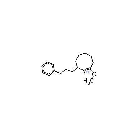 CO/C1=N/C(CCCc2ccccc2)CCCCC1